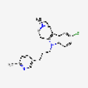 CN1C2CCC1c1c(n(CCCc3ccc(C(F)(F)F)nc3)c3ccc(Cl)cc13)C2